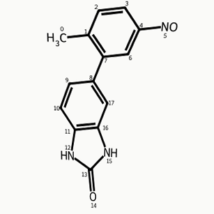 Cc1ccc(N=O)cc1-c1ccc2[nH]c(=O)[nH]c2c1